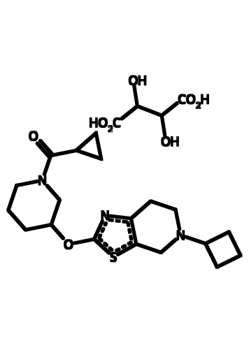 O=C(C1CC1)N1CCCC(Oc2nc3c(s2)CN(C2CCC2)CC3)C1.O=C(O)C(O)C(O)C(=O)O